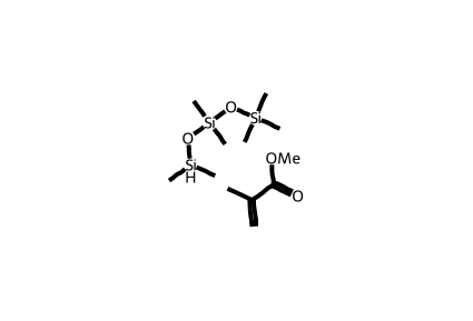 C=C(C)C(=O)OC.C[SiH](C)O[Si](C)(C)O[Si](C)(C)C